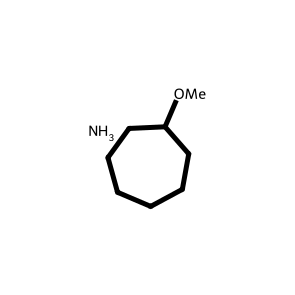 COC1CCCCCC1.N